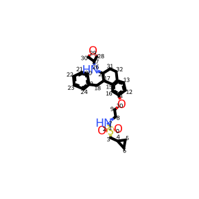 O=S(=O)(CC1CC1)NCCOc1ccc2c(c1)C(Cc1ccccc1)C(NC1COC1)CC2